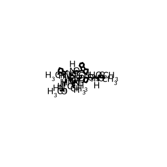 COC(=O)[C@H](Cc1ccc(OCCNC(=O)OC(C)(C)C)cc1)NC(=O)[C@@H](NC(=O)[C@H](CCCCNC(C)=O)NC(=O)[C@H](Cc1c[nH]c2c(C)cccc12)NC(=O)OCC1c2ccccc2-c2ccccc21)C(C)(C)C